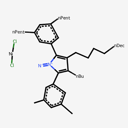 CCCCCCCCCCCCCCC1=C(c2cc(CCCCC)cc(CCCCC)c2)[N+](=[N-])C(c2cc(C)cc(C)c2)=C1CCCC.[Cl][Ni][Cl]